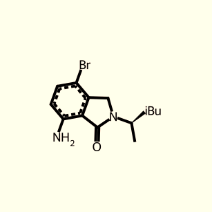 CCC(C)[C@@H](C)N1Cc2c(Br)ccc(N)c2C1=O